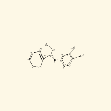 CC(C)OC(=Nc1ccc(Cl)c(Cl)c1)C1=NC=CCC1